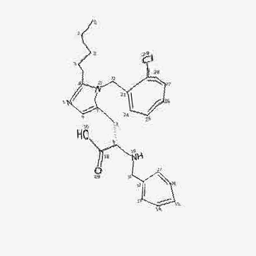 CCCCc1ncc(C[C@H](NCc2ccccc2)C(=O)O)n1Cc1ccccc1Cl